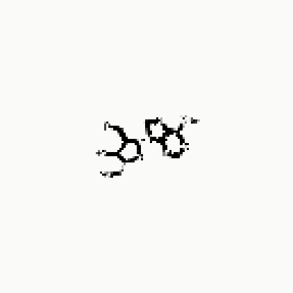 CNc1ncnc2c1ncn2[C@@H]1O[C@H](CO)C(O)/C1=C\F